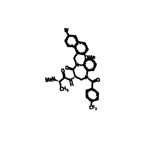 CN[C@@H](C)C(=O)N[C@H]1CN(C(=O)c2ccc(C(F)(F)F)cc2)c2ccccc2N(Cc2c(OC)ccc3cc(Br)ccc23)C1=O